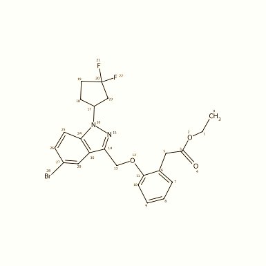 CCOC(=O)Cc1ccccc1OCc1nn(C2CCC(F)(F)C2)c2ccc(Br)cc12